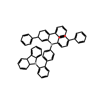 C1=CC2c3ccccc3N(c3ccccc3-c3ccc(N(C4=CC(c5ccccc5)CC=C4c4ccccc4)c4ccc(-c5ccccc5)cc4)cc3)C2C=C1